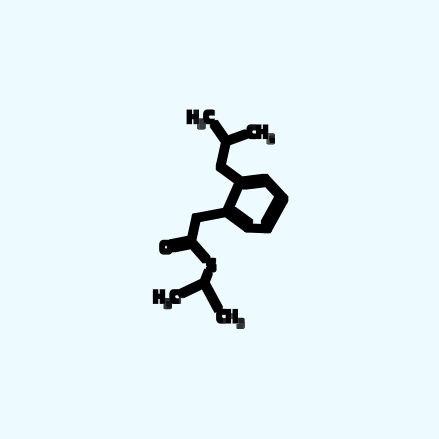 CC(C)Cc1ccccc1CC(=O)SC(C)C